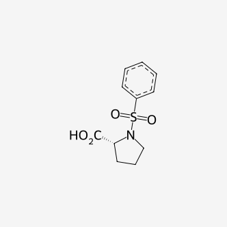 O=C(O)[C@H]1CCCN1S(=O)(=O)c1ccccc1